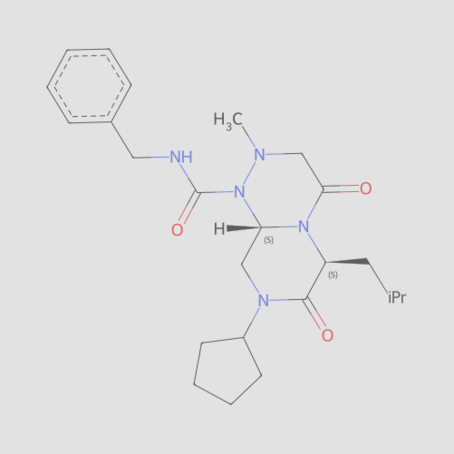 CC(C)C[C@H]1C(=O)N(C2CCCC2)C[C@H]2N1C(=O)CN(C)N2C(=O)NCc1ccccc1